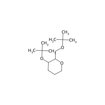 CC(C)(C)OCC1OCCCC1OC(C)(C)C